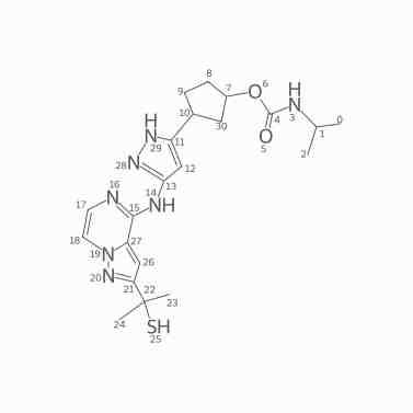 CC(C)NC(=O)OC1CCC(c2cc(Nc3nccn4nc(C(C)(C)S)cc34)n[nH]2)C1